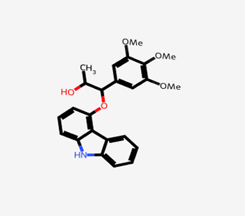 COc1cc(C(Oc2cccc3[nH]c4ccccc4c23)C(C)O)cc(OC)c1OC